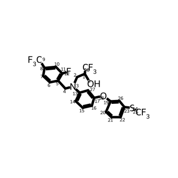 OC(CN(Cc1ccc(C(F)(F)F)cc1F)c1cccc(Oc2cccc(SC(F)(F)F)c2)c1)C(F)(F)F